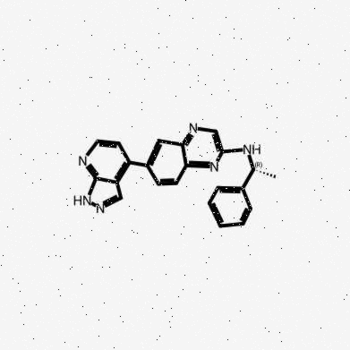 C[C@@H](Nc1cnc2cc(-c3ccnc4[nH]ncc34)ccc2n1)c1ccccc1